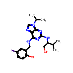 CC(C)C(CO)Nc1nc(NCc2cc(I)ccc2O)c2ncn(C(C)C)c2n1